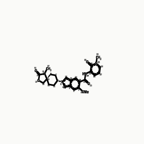 COc1cc2nn([C@H]3CC[C@]4(CC3)COC(=O)N4C)cc2cc1C(=O)Nc1cccn(C)c1=O